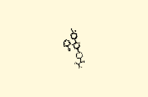 CCC(=O)NC1CCN(c2cnc(-c3ccc(C(F)(F)F)cc3)c(-c3cccnc3Cl)n2)CC1